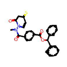 CN(C(=O)c1ccc(C(=O)OC(c2ccccc2)c2ccccc2)cc1)N1C=CC(=S)CC1=O